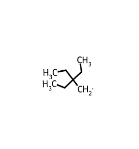 [CH2]C(CC)(CC)CC